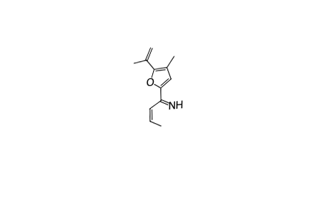 C=C(C)c1oc(C(=N)/C=C\C)cc1C